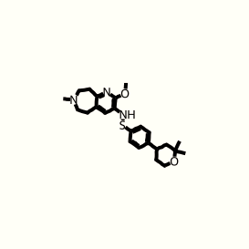 COc1nc2c(cc1NSc1ccc(C3CCOC(C)(C)C3)cc1)CCN(C)CC2